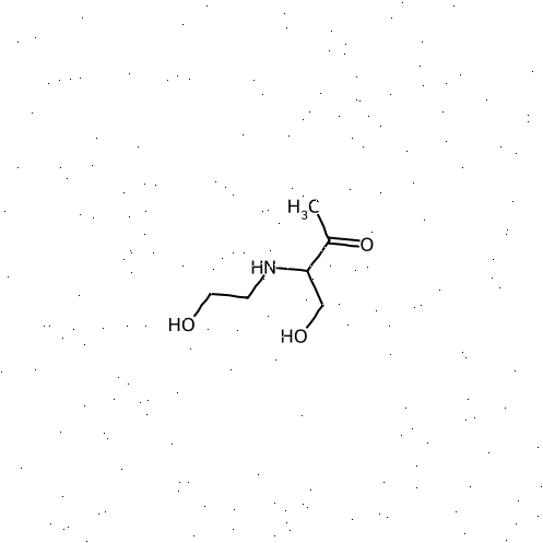 CC(=O)C(CO)NCCO